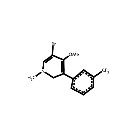 COC1=C(c2cccc(C(F)(F)F)c2)CN(C)C=C1Br